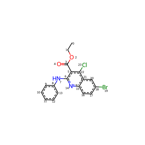 CCOC(=O)c1c(Nc2ccccc2)nc2ccc(Br)cc2c1Cl